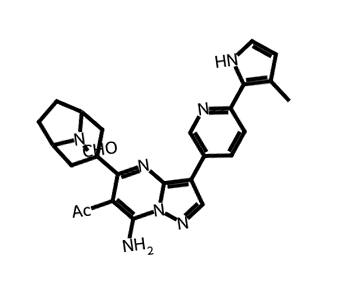 CC(=O)c1c(C2CC3CCC(C2)N3C=O)nc2c(-c3ccc(-c4[nH]ccc4C)nc3)cnn2c1N